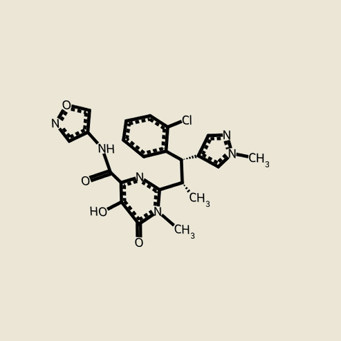 C[C@H](c1nc(C(=O)Nc2cnoc2)c(O)c(=O)n1C)[C@@H](c1cnn(C)c1)c1ccccc1Cl